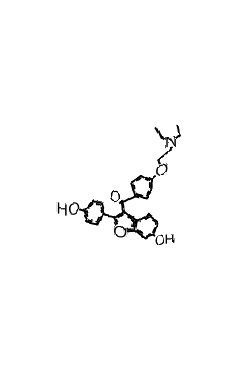 CCN(CC)CCOc1ccc(C(=O)c2c(-c3ccc(O)cc3)oc3cc(O)ccc23)cc1